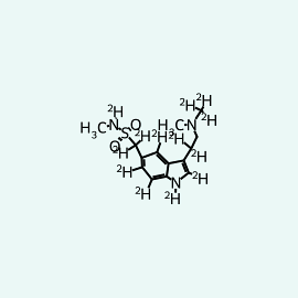 [2H]c1c(C([2H])([2H])S(=O)(=O)N([2H])C)c([2H])c2c(C([2H])([2H])CN(C)C([2H])([2H])[2H])c([2H])n([2H])c2c1[2H]